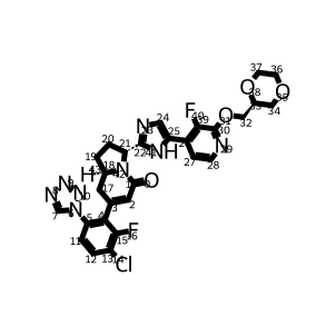 O=C1C=C(c2c(-n3cnnn3)ccc(Cl)c2F)C[C@H]2CC[C@H](c3ncc(-c4ccnc(OC[C@@H]5COCCO5)c4F)[nH]3)N12